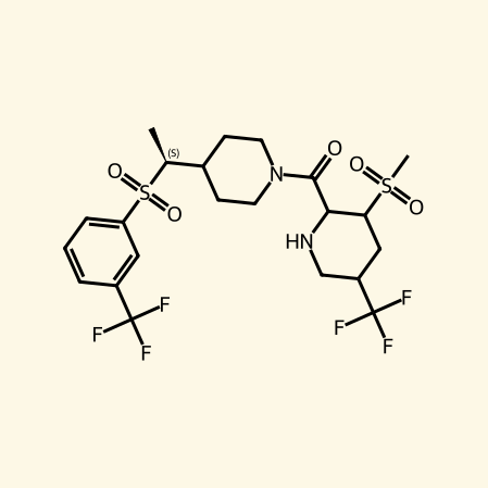 C[C@@H](C1CCN(C(=O)C2NCC(C(F)(F)F)CC2S(C)(=O)=O)CC1)S(=O)(=O)c1cccc(C(F)(F)F)c1